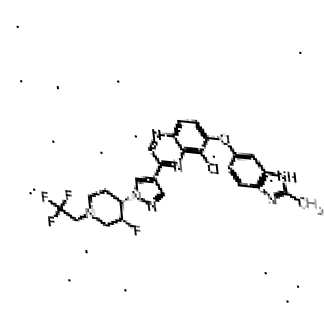 Cc1nc2ccc(Oc3ccc4ncc(-c5cnn([C@H]6CCN(CC(F)(F)F)C[C@@H]6F)c5)nc4c3Cl)cc2[nH]1